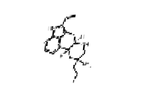 C=Cc1[nH]c2cccc3c2c1C[C@H]1NC[C@](N)(CCC)C[C@H]31